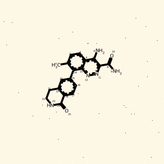 Cc1ccc2c(N)c(C(N)=O)nnc2c1-c1ccc2c(c1)CCNC2=O